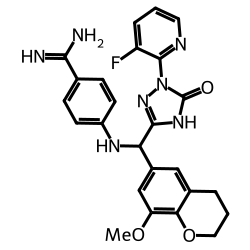 COc1cc(C(Nc2ccc(C(=N)N)cc2)c2nn(-c3ncccc3F)c(=O)[nH]2)cc2c1OCCC2